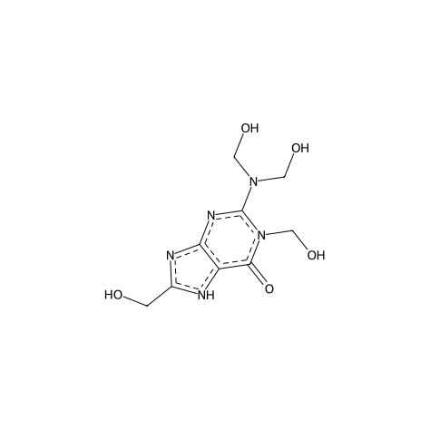 O=c1c2[nH]c(CO)nc2nc(N(CO)CO)n1CO